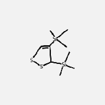 C[Si](C)(C)C1=CSSC1[Si](C)(C)C